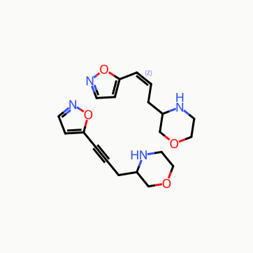 C(#Cc1ccno1)CC1COCCN1.C(=C/c1ccno1)/CC1COCCN1